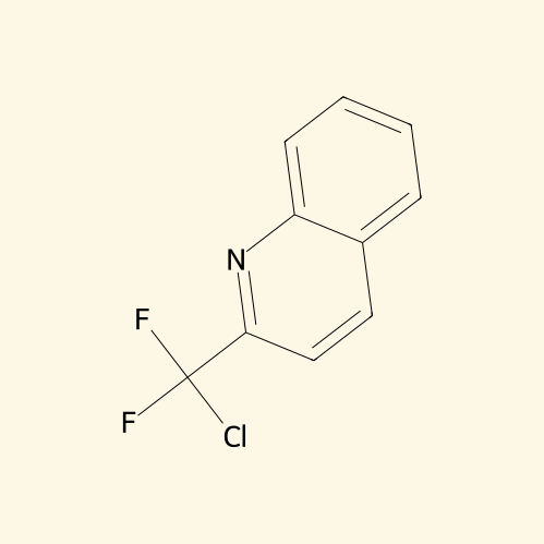 FC(F)(Cl)c1ccc2ccccc2n1